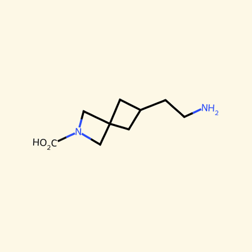 NCCC1CC2(C1)CN(C(=O)O)C2